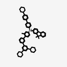 Cc1cc(N(c2ccc(-c3ccc(C4CCCCC4)cc3)cc2)c2ccc3c(c2)C(C)(C)c2ccccc2-3)ccc1-c1cccc(-c2cc(C3CCCCC3)cc(C3CCCCC3)c2)c1